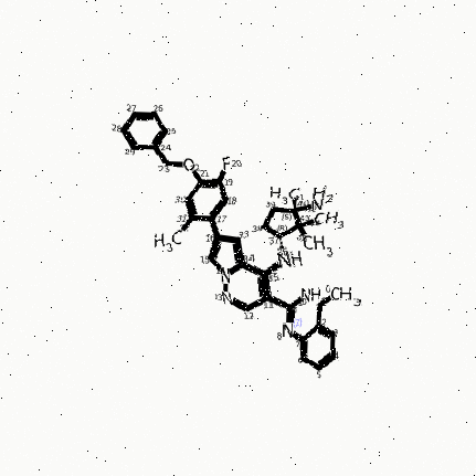 CCc1ccccc1/N=C(\N)c1cnn2cc(-c3cc(F)c(OCc4ccccc4)cc3C)cc2c1N[C@@H]1CC[C@](C)(N)C1(C)C